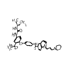 CCC(CC)NC(=O)Nc1ccc(Oc2ccc(NC(=O)c3ccc4c(ccn4CCCN4CCCCC4)c3)cc2)c(C(=O)NC)c1